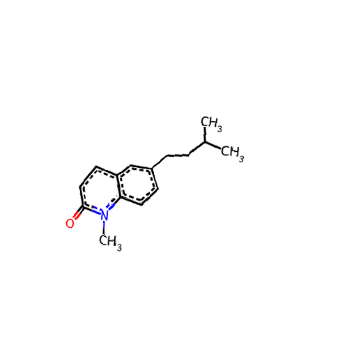 CC(C)CCc1ccc2c(ccc(=O)n2C)c1